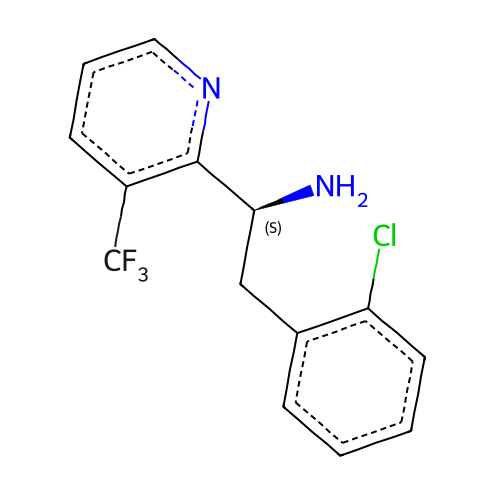 N[C@@H](Cc1ccccc1Cl)c1ncccc1C(F)(F)F